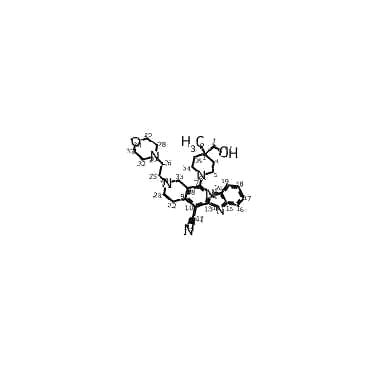 CC1(CO)CCN(c2c3c(c(C#N)c4nc5ccccc5n24)CCN(CCN2CCOCC2)C3)CC1